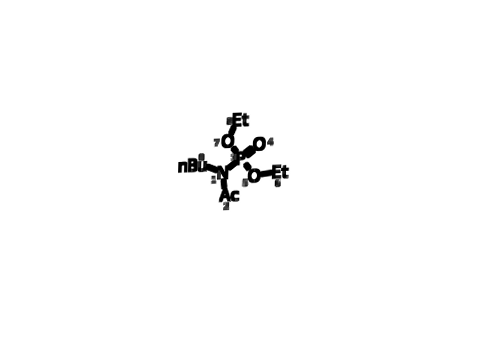 CCCCN(C(C)=O)P(=O)(OCC)OCC